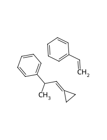 C=Cc1ccccc1.CC(C=C1CC1)c1ccccc1